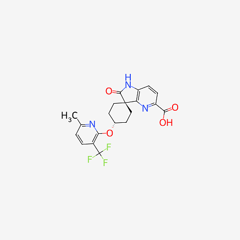 Cc1ccc(C(F)(F)F)c(O[C@H]2CC[C@@]3(CC2)C(=O)Nc2ccc(C(=O)O)nc23)n1